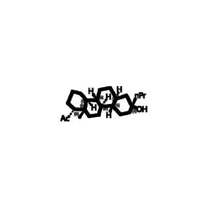 CCC[C@@]1(O)CC[C@H]2[C@@H](CC[C@@H]3[C@@H]2CC[C@]2(C)[C@H](C(C)=O)CCC[C@@H]32)C1